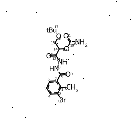 Cc1c(Br)cccc1C(=O)NNC(=O)C(COC(C)(C)C)OC(N)=O